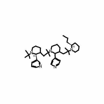 CCC[C@H]1CCCCN1C(C)(C)CC1CCCN(C(C)(C)CC2CCCN(C(C)(C)C)[C@@H]2c2cccnc2)C1c1ccncc1